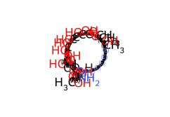 C[C@@H]1OC(=O)CC(O)CC(O)CCC(O)C(O)CC(O)CC2(O)C[C@H](O)C(C(=O)O)[C@H](CC(OC3O[C@H](C)[C@@H](O)[C@H](N)[C@H]3O)/C=C/C=C/C=C/C=C/C=C/C=C/C=C/[C@H](C)C(O)[C@H]1C)O2